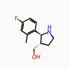 Cc1cc(F)ccc1[C@H]1NCC[C@@H]1CO